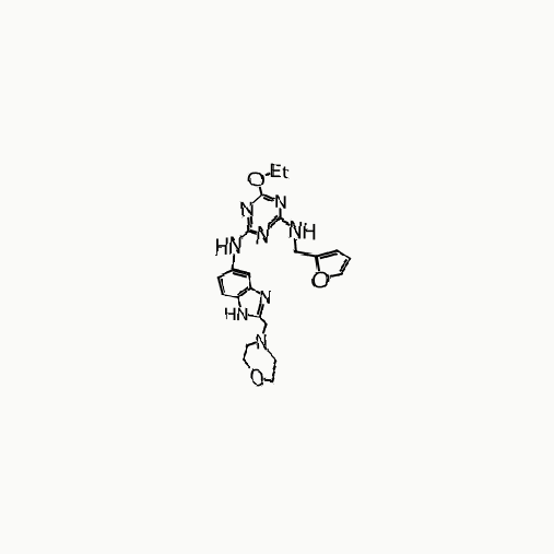 CCOc1nc(NCc2ccco2)nc(Nc2ccc3[nH]c(CN4CCOCC4)nc3c2)n1